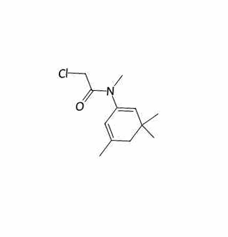 CC1=CC(N(C)C(=O)CCl)=CC(C)(C)C1